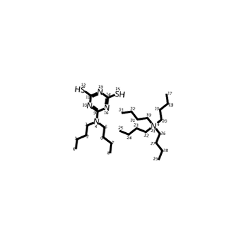 CCCCN(CCCC)c1nc(S)nc(S)n1.CCCC[N+](CCCC)(CCCC)CCCC